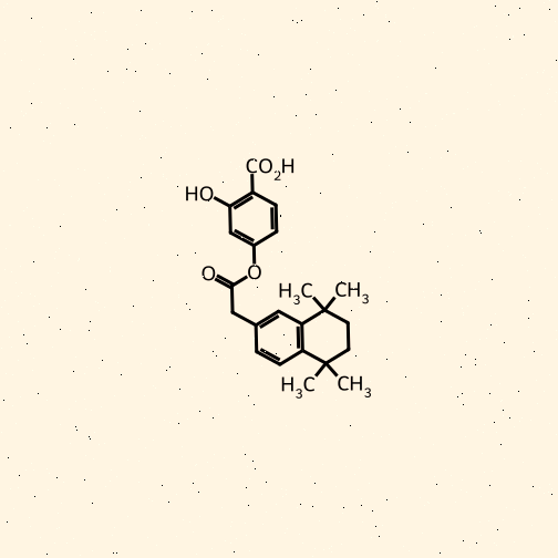 CC1(C)CCC(C)(C)c2cc(CC(=O)Oc3ccc(C(=O)O)c(O)c3)ccc21